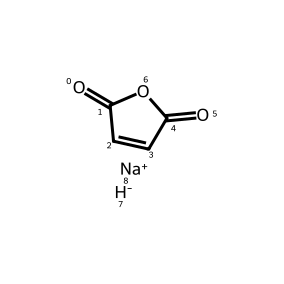 O=C1C=CC(=O)O1.[H-].[Na+]